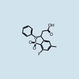 Cc1cc(F)c2c(c1)C(CC(=O)O)N(c1ccccc1)S2(=O)=O